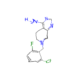 Nc1ncnc2c1CCN(Cc1c(F)cccc1Cl)C2